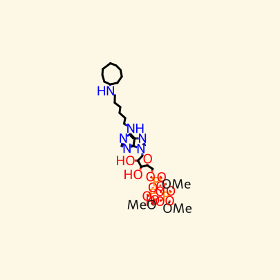 COOP(=O)(O)OP(=O)(OOC)OP(=O)(OCC1OC(n2cnc3c(NCCCCCCNC4CCCCCCCC4)ncnc32)C(O)C1O)OOC